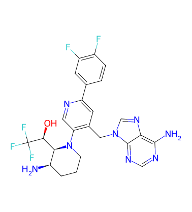 Nc1ncnc2c1ncn2Cc1cc(-c2ccc(F)c(F)c2)ncc1N1CCC[C@@H](N)[C@H]1[C@H](O)C(F)(F)F